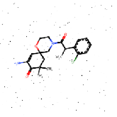 CC(C(=O)N1CCOC2(C=C(N)C(=O)C(C)(C)C2)C1)c1ccccc1Cl